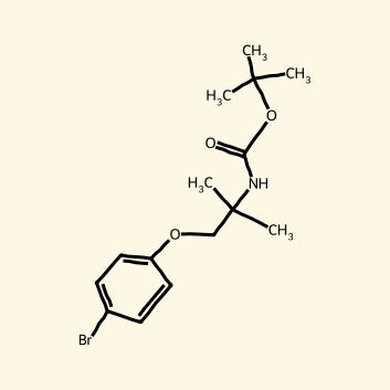 CC(C)(COc1ccc(Br)cc1)NC(=O)OC(C)(C)C